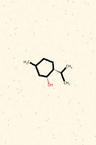 CC1CC[C@H](C(C)C)[C@H](O)C1